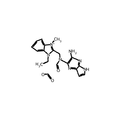 CCn1c(CN(C=O)c2nc3cc[nH]c3nc2N)[n+](C)c2ccccc21.O=C[O-]